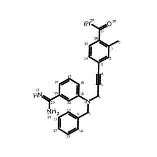 Cc1cc(C#CCN(Cc2ccccc2)c2cccc(C(=N)N)c2)ccc1C(=O)C(C)C